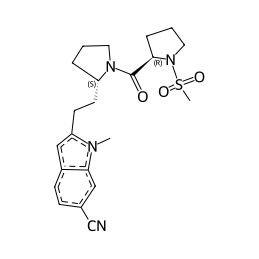 Cn1c(CC[C@@H]2CCCN2C(=O)[C@H]2CCCN2S(C)(=O)=O)cc2ccc(C#N)cc21